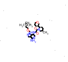 C[C@H]1CC[C@H]([C@H]2CCCOC2)N(C(=O)C(=O)Nc2cnc(N)c3cnn(COCC[Si](C)(C)C)c23)C1